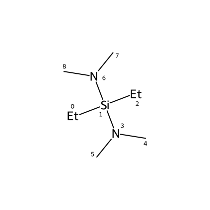 CC[Si](CC)(N(C)C)N(C)C